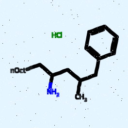 CCCCCCCCCC(N)CC(C)Cc1ccccc1.Cl